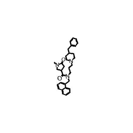 CN1CC(C(=O)N(CCCN2CCC(Cc3ccccc3)CC2)Cc2cccc3ccccc23)CC1=O